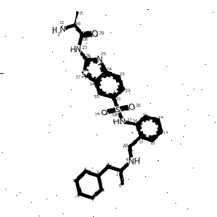 CC(CC1CCCCC1)NCc1ccccc1NS(=O)(=O)c1ccc2nc(NC(=O)[C@H](C)N)sc2c1